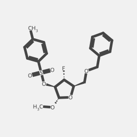 CO[C@H]1O[C@H](COCc2ccccc2)[C@@H](F)[C@@H]1OS(=O)(=O)c1ccc(C)cc1